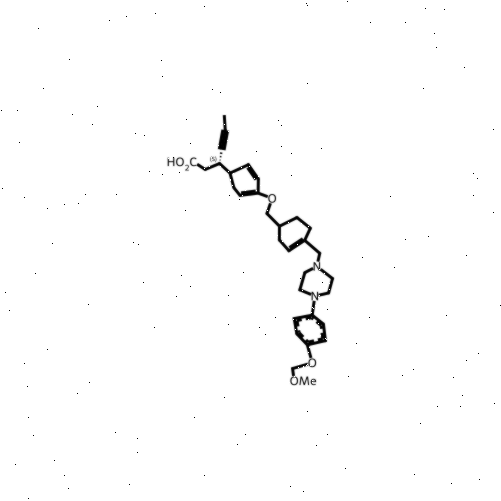 CC#C[C@@H](CC(=O)O)C1C=CC(OCC2CC=C(CN3CCN(c4ccc(OCOC)cc4)CC3)CC2)=CC1